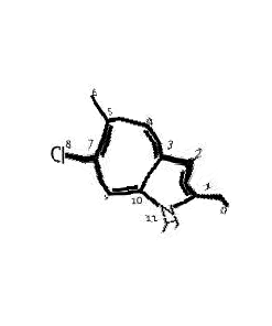 Cc1cc2cc(C)c(Cl)cc2[nH]1